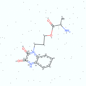 CC(C)C(N)C(=O)OCCCn1c(=O)c(=O)[nH]c2ccccc21